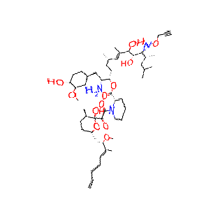 C#CCO/N=C(\[C@H](C)CC(C)C)[C@H](O)[C@H](O)/C(C)=C/[C@@H](C)CC[C@H](OC(=O)[C@@H]1CCCCN1C(=O)C(=O)[C@]1(O)O[C@H](C[C@H](OC)/C(C)=C/C=C/C=C)CC[C@H]1C)[C@H](N)C[C@@H]1CC[C@@H](O)[C@H](OC)C1